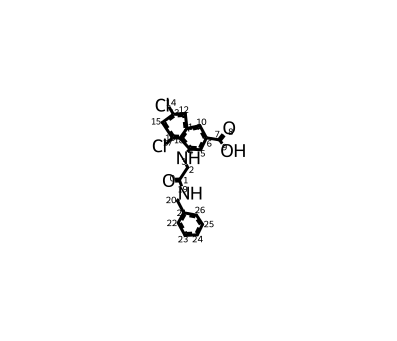 O=C(CNc1cc(C(=O)O)cc2cc(Cl)cc(Cl)c12)NCc1ccccc1